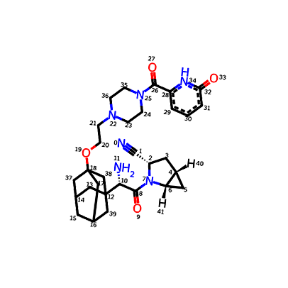 N#C[C@@H]1C[C@@H]2C[C@@H]2N1C(=O)[C@@H](N)C12CC3CC(CC(OCCN4CCN(C(=O)c5cccc(=O)[nH]5)CC4)(C3)C1)C2